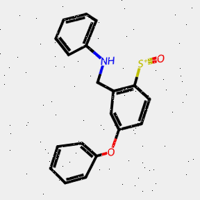 O=[S+]c1ccc(Oc2ccccc2)cc1CNc1ccccc1